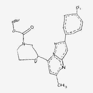 Cc1cc(C2CN(C(=O)OC(C)(C)C)CCO2)n2nc(-c3ccc(C(F)(F)F)cc3)cc2n1